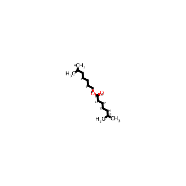 CC(C)CCCCCOC(=O)CCCCC(C)C